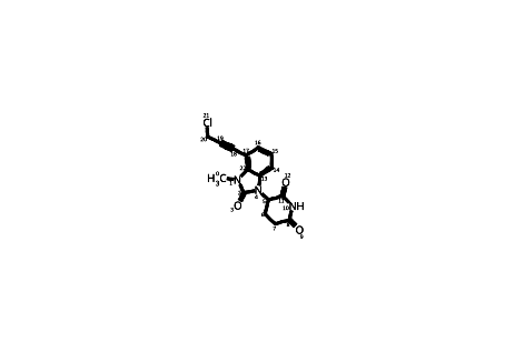 Cn1c(=O)n(C2CCC(=O)NC2=O)c2cccc(C#CCCl)c21